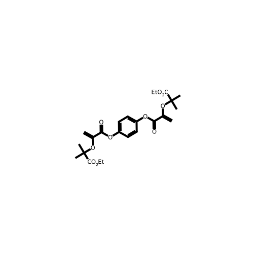 C=C(OC(C)(C)C(=O)OCC)C(=O)Oc1ccc(OC(=O)C(=C)OC(C)(C)C(=O)OCC)cc1